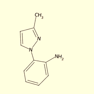 Cc1ccn(-c2ccccc2N)n1